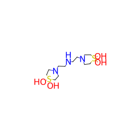 OS1(O)CCN(CCNCCN2CCS(O)(O)CC2)CC1